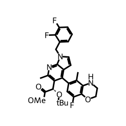 COC(=O)[C@@H](OC(C)(C)C)c1c(C)nc2c(ccn2Cc2cccc(F)c2F)c1-c1cc(F)c2c(c1C)NCCO2